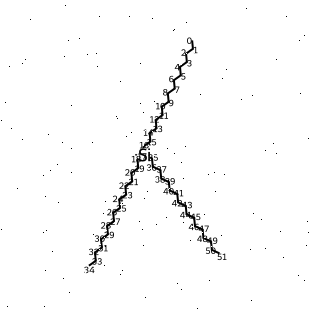 CCCCCCCCCCCCCCCCC[Si](CCCCCCCCCCCCCCCCC)CCCCCCCCCCCCCCCCC